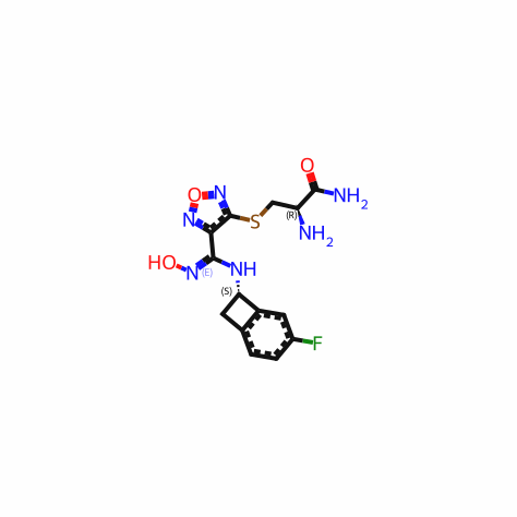 NC(=O)[C@@H](N)CSc1nonc1/C(=N\O)N[C@H]1Cc2ccc(F)cc21